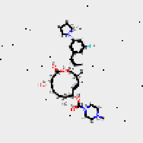 C/C(=C\c1cc(F)cc(N2CCC[C@@H]2C)c1)[C@H]1OC(=O)C[C@@H](O)CC[C@@H](C)[C@@H](OC(=O)N2CCN(C)CC2)/C=C/[C@@H]1C